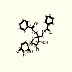 O=C(OCC1(COC(=O)c2ccccc2)O[C@@H](n2ccc(=O)[nH]c2=O)[C@H](Cl)[C@@H]1O)c1ccccc1